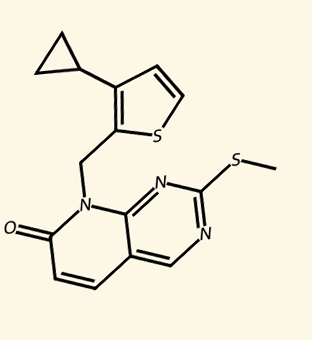 CSc1ncc2ccc(=O)n(Cc3sccc3C3CC3)c2n1